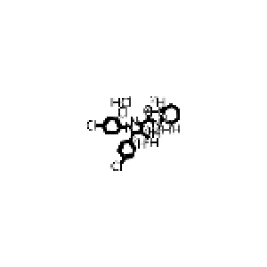 Cl.[2H]C([2H])([2H])c1c(C(=O)NN2C([2H])([2H])CCCC2([2H])[2H])nn(-c2ccc(Cl)cc2Cl)c1-c1ccc(Cl)cc1